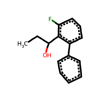 CCC(O)c1c(F)cccc1-c1ccccc1